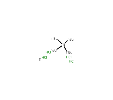 CCC[CH2][Ti]([CH2]CCC)([CH2]CCC)[CH2]CCC.Cl.Cl.Cl.Cl.[Ti]